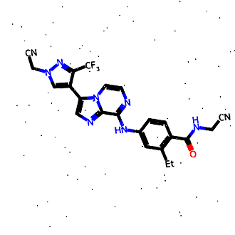 CCc1cc(Nc2nccn3c(-c4cn(CC#N)nc4C(F)(F)F)cnc23)ccc1C(=O)NCC#N